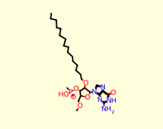 CCCCCCCCCCCCCCCCOC1C(OP(C)(=O)O)C(COC)OC1n1cnc2c(=O)[nH]c(N)nc21